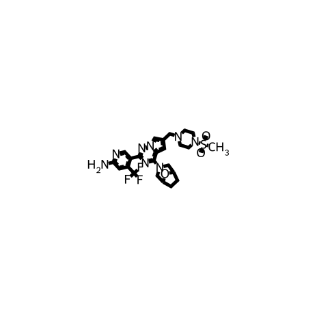 CS(=O)(=O)N1CCN(Cc2cc3c(N4CC5CCC(C4)O5)nc(-c4cnc(N)cc4C(F)(F)F)nn3c2)CC1